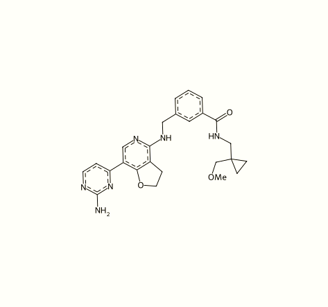 COCC1(CNC(=O)c2cccc(CNc3ncc(-c4ccnc(N)n4)c4c3CCO4)c2)CC1